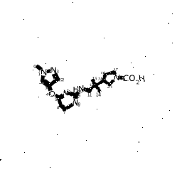 Cn1cc(Oc2ccnc(NCC(C)(C)C3CCN(C(=O)O)C3)n2)cn1